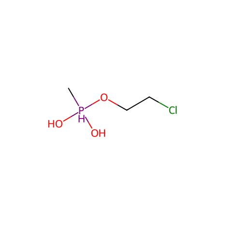 C[PH](O)(O)OCCCl